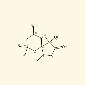 CC1CC(=O)C(C)(O)[C@]12C[C@H](C)CC(C)(C)C2